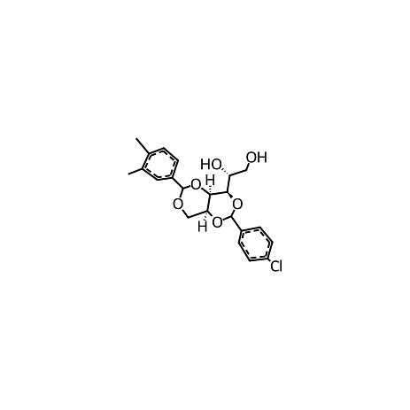 Cc1ccc(C2OC[C@@H]3OC(c4ccc(Cl)cc4)O[C@H]([C@H](O)CO)[C@@H]3O2)cc1C